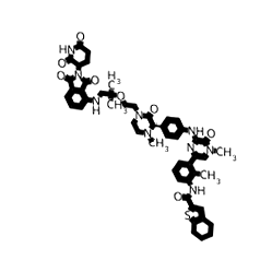 Cc1c(NC(=O)c2cc3c(s2)CCCC3)cccc1-c1cn(C)c(=O)c(Nc2ccc([C@@H]3C(=O)N(CCOC(C)(C)CNc4cccc5c4C(=O)N(C4CCC(=O)NC4=O)C5=O)CCN3C)cc2)n1